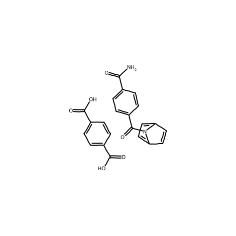 NC(=O)c1ccc(C(=O)n2c3ccc2cc3)cc1.O=C(O)c1ccc(C(=O)O)cc1